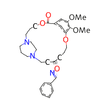 COc1cc2cc(c1OC)OCCC[C@H](O/N=C/c1ccccc1)CCN1CCCN(CCCOC2=O)CC1